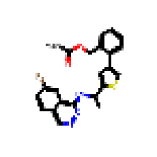 CNC(=O)OCc1ccccc1-c1csc(C(C)Nc2nncc3ccc(Br)cc23)c1